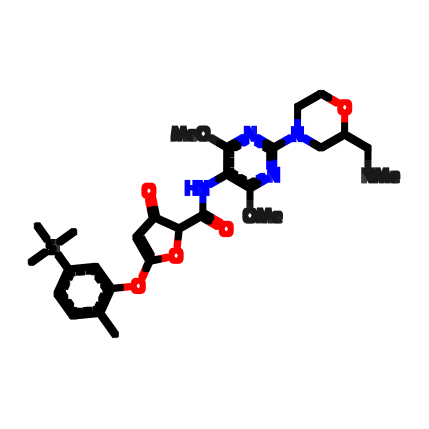 CNCC1CN(c2nc(OC)c(NC(=O)C3OC(Oc4cc([Si](C)(C)C)ccc4C)=CC3=O)c(OC)n2)CCO1